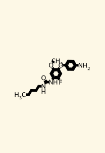 CCCCCNC(=O)Nc1cc(OC)c(Oc2ccc(N)cc2)cc1F